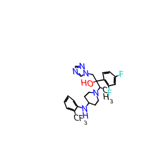 C[C@@H](N1CCC(Nc2ccccc2C(F)(F)F)CC1)[C@](O)(Cn1cncn1)c1ccc(F)cc1F